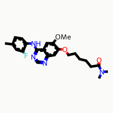 COc1cc2c(Nc3ccc(C)cc3F)ncnc2cc1OCCCCCC(=O)N(C)C